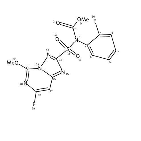 COC(=O)N(c1ccccc1F)S(=O)(=O)c1nc2cc(F)nc(OC)n2n1